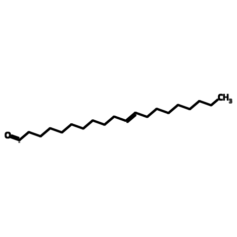 CCCCCCCCC=CCCCCCCCCC[C]=O